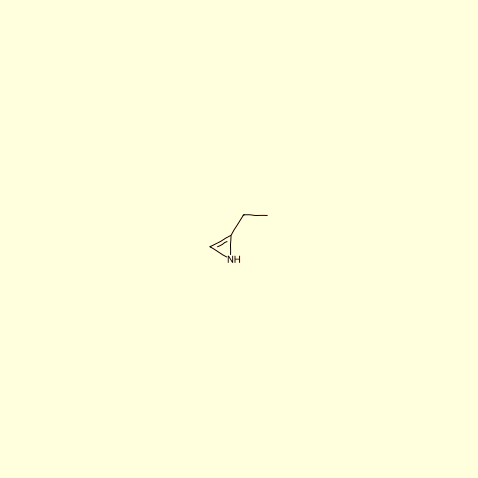 CCC1=CN1